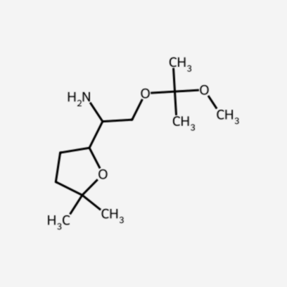 COC(C)(C)OCC(N)C1CCC(C)(C)O1